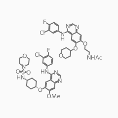 CC(=O)NCCOc1cc2ncnc(Nc3ccc(F)c(Cl)c3)c2cc1OC1CCOCC1.COc1cc2ncnc(Nc3ccc(F)c(Cl)c3)c2cc1O[C@H]1CC[C@H](NS(=O)(=O)N2CCOCC2)CC1